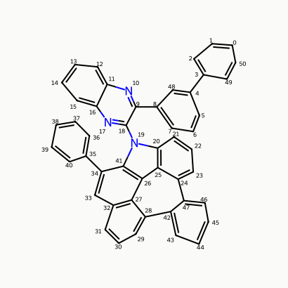 c1ccc(-c2cccc(-c3nc4ccccc4nc3-n3c4cccc5c4c4c6c(cccc6cc(-c6ccccc6)c43)-c3ccccc3-5)c2)cc1